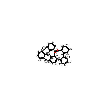 c1ccc2c(c1)Oc1cccc3c1B2c1c(ccc2c1-c1ccccc1-c1ccccc1-c1ccccc1-2)O3